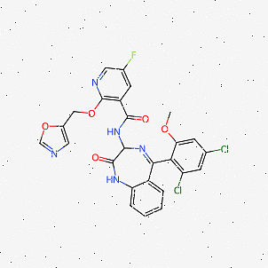 COc1cc(Cl)cc(Cl)c1C1=NC(NC(=O)c2cc(F)cnc2OCc2cnco2)C(=O)Nc2ccccc21